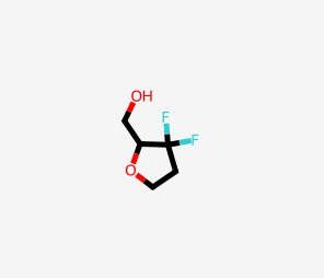 OCC1OCCC1(F)F